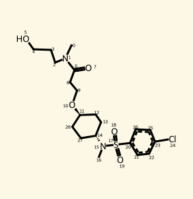 CN(CCCO)C(=O)CCO[C@H]1CC[C@H](N(C)S(=O)(=O)c2ccc(Cl)cc2)CC1